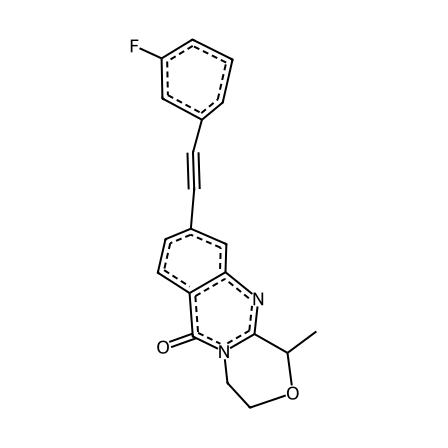 CC1OCCn2c1nc1cc(C#Cc3cccc(F)c3)ccc1c2=O